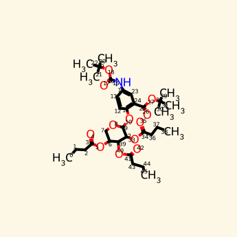 CCCC(=O)OC1COC(Oc2ccc(NC(=O)OC(C)(C)C)cc2C(=O)OC(C)(C)C)C(OC(=O)CCC)C1OC(=O)CCC